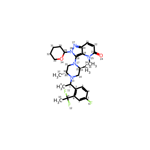 CC(c1ccc(F)cc1C(C)(F)F)N1C[C@H](C)N(c2c3c(ccc(=O)n3C)nn2C2CCCCO2)C[C@H]1C